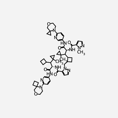 Cn1nccc1C(=O)N[C@H](C(=O)Nc1ccc(N2CCOCC23CC3)nc1)C(C1CCC1Cn1nccc1C(=O)N[C@H](C(=O)Nc1ccc(N2CCOCC23CCC3)nc1)C(C1CCC1)C1(C)CC1)C1(C)CC1